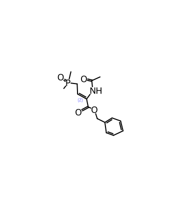 CC(=O)N/C(=C\CP(C)(C)=O)C(=O)OCc1ccccc1